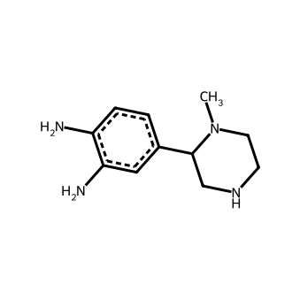 CN1CCNCC1c1ccc(N)c(N)c1